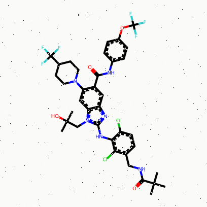 CC(C)(O)Cn1c(Nc2c(Cl)ccc(CNC(=O)C(C)(C)C)c2Cl)nc2cc(C(=O)Nc3ccc(OC(F)(F)F)cc3)c(N3CCC(C(F)(F)F)CC3)cc21